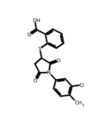 Cc1ccc(N2C(=O)CC(Sc3ccccc3C(=O)O)C2=O)cc1Cl